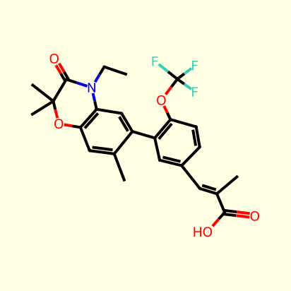 CCN1C(=O)C(C)(C)Oc2cc(C)c(-c3cc(/C=C(\C)C(=O)O)ccc3OC(F)(F)F)cc21